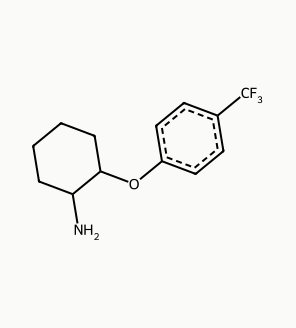 NC1CCCCC1Oc1ccc(C(F)(F)F)cc1